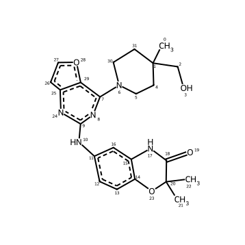 CC1(CO)CCN(c2nc(Nc3ccc4c(c3)NC(=O)C(C)(C)O4)nc3ccoc23)CC1